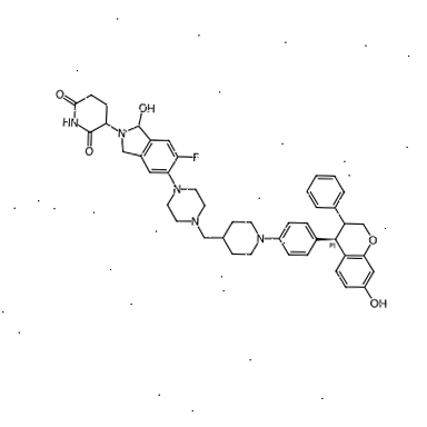 O=C1CCC(N2Cc3cc(N4CCN(CC5CCN(c6ccc([C@@H]7c8ccc(O)cc8OCC7c7ccccc7)cc6)CC5)CC4)c(F)cc3C2O)C(=O)N1